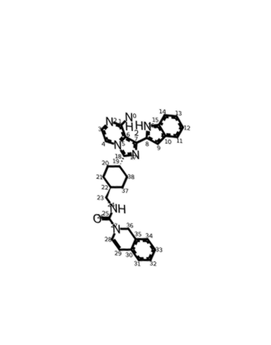 Nc1nccn2c1c(-c1cc3ccccc3[nH]1)nc2[C@H]1CC[C@H](CNC(=O)N2C=Cc3ccccc3C2)CC1